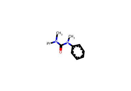 CC(C)N(C)C(=O)N(C)c1ccccc1